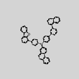 c1cc(-c2ccc(N(c3ccc(-c4cccc5c4oc4ccccc45)cc3)c3ccc4c(ccc5ccccc54)c3)cc2)cc(-c2cccc3ccccc23)c1